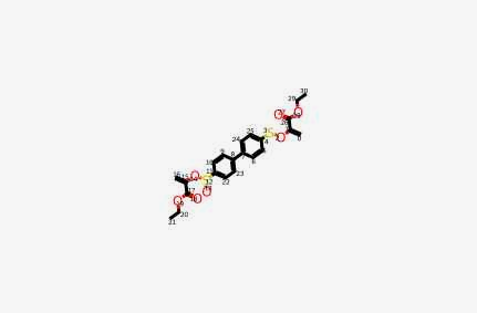 C=C(OSc1ccc(-c2ccc(S(=O)OC(=C)C(=O)OCC)cc2)cc1)C(=O)OCC